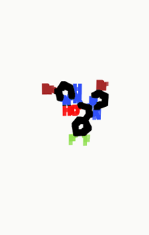 OC(Nc1ccc(Br)cn1)c1c(-c2ccc(F)c(F)c2)nc2ccc(Br)cn12